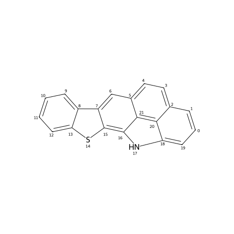 c1cc2ccc3cc4c5ccccc5sc4c4[nH]c(c1)c2c34